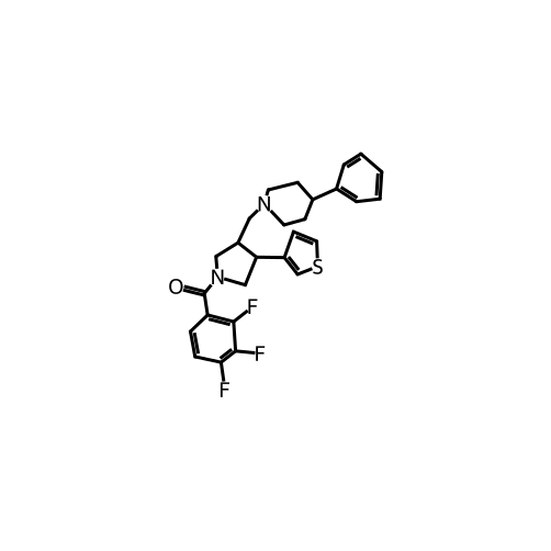 O=C(c1ccc(F)c(F)c1F)N1CC(CN2CCC(c3ccccc3)CC2)C(c2ccsc2)C1